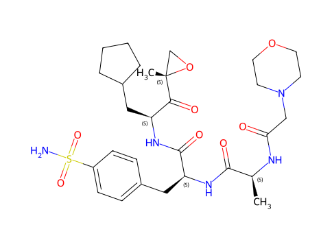 C[C@H](NC(=O)CN1CCOCC1)C(=O)N[C@@H](Cc1ccc(S(N)(=O)=O)cc1)C(=O)N[C@@H](CC1CCCC1)C(=O)[C@]1(C)CO1